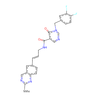 CNc1ncc2cc(C=CCNC(=O)c3cncn(Cc4ccc(F)c(F)c4)c3=O)ccc2n1